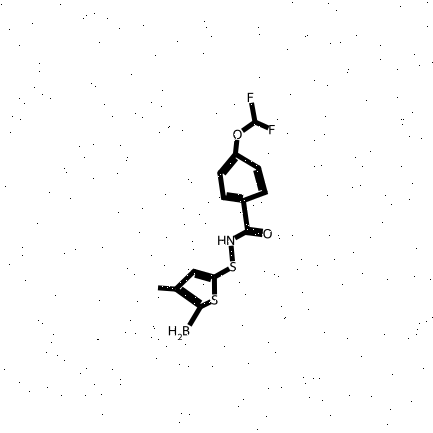 Bc1sc(SNC(=O)c2ccc(OC(F)F)cc2)cc1C